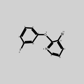 Fc1cccc(Oc2ncccc2Br)c1